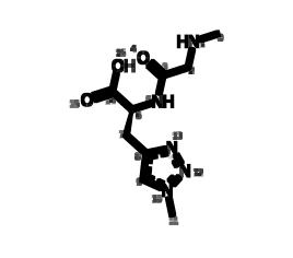 CNCC(=O)N[C@@H](Cc1cn(C)nn1)C(=O)O